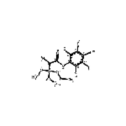 CCO[Si](OC)(OC)C(N)C(=O)Oc1c(F)c(F)c(F)c(F)c1F